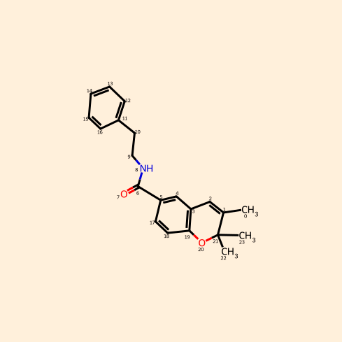 CC1=Cc2cc(C(=O)NCCc3ccccc3)ccc2OC1(C)C